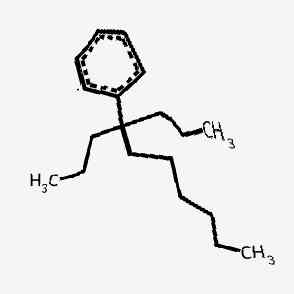 CCCCCCC(CCC)(CCC)c1[c]cccc1